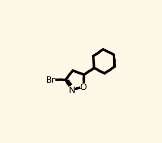 BrC1=NOC(C2CCCCC2)C1